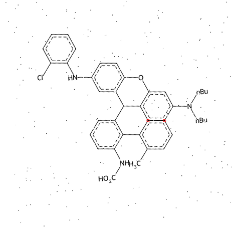 CCCCN(CCCC)c1ccc2c(c1)Oc1ccc(Nc3ccccc3Cl)cc1C2c1cccc(NC(=O)O)c1-c1ccccc1C